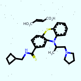 CC(CN1CCCC1)N1c2ccccc2Sc2ccc(C(=S)NCC3CCC3)cc21.O=C(O)C=CC(=O)O